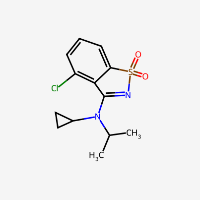 CC(C)N(C1=NS(=O)(=O)c2cccc(Cl)c21)C1CC1